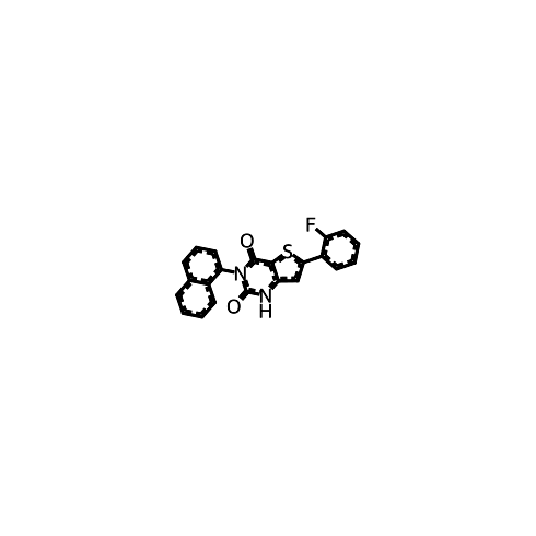 O=c1[nH]c2cc(-c3ccccc3F)sc2c(=O)n1-c1cccc2ccccc12